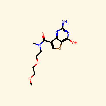 COCCOCCN(C)C(=O)c1csc2c(O)nc(N)nc12